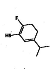 CC(C)C1=CC(S)=C(F)CC1